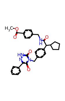 COC(=O)c1ccc(CNC(=O)C(c2ccc(Cn3c(=O)[nH]nc(-c4ccccc4)c3=O)cc2)C2CCCC2)cc1